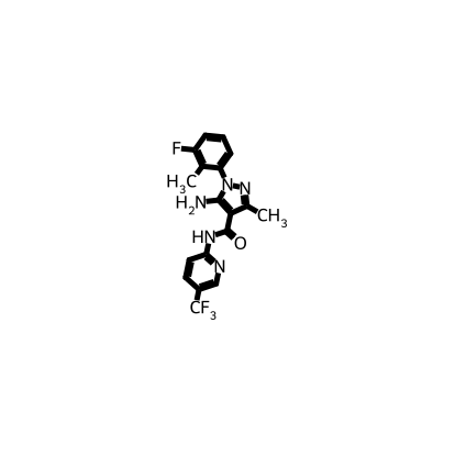 Cc1nn(-c2cccc(F)c2C)c(N)c1C(=O)Nc1ccc(C(F)(F)F)cn1